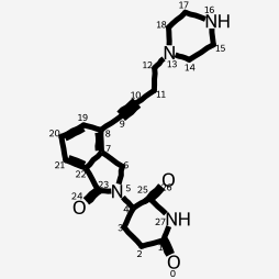 O=C1CCC(N2Cc3c(C#CCCN4CCNCC4)cccc3C2=O)C(=O)N1